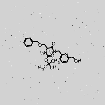 CC(C)(C)OC(=O)NC(COCc1ccccc1)C(=O)NCc1cccc(CO)n1